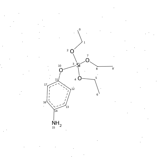 CCO[Si](OCC)(OCC)Oc1ccc(N)cc1